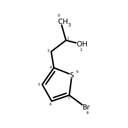 CC(O)Cc1ccc(Br)s1